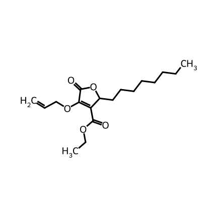 C=CCOC1=C(C(=O)OCC)C(CCCCCCCC)OC1=O